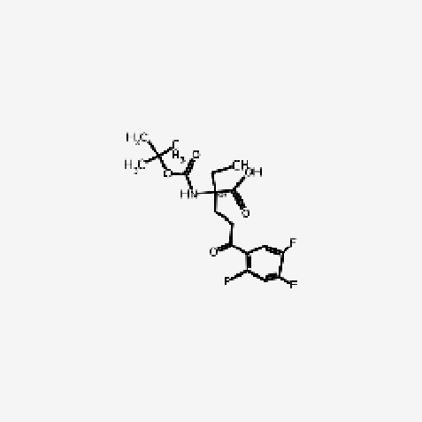 CC[C@@](CCC(=O)c1cc(F)c(F)cc1F)(NC(=O)OC(C)(C)C)C(=O)O